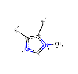 [2H]c1ncn(C)c1[2H]